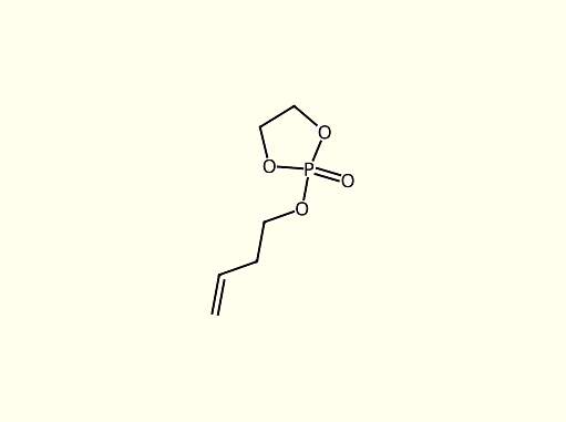 C=CCCOP1(=O)OCCO1